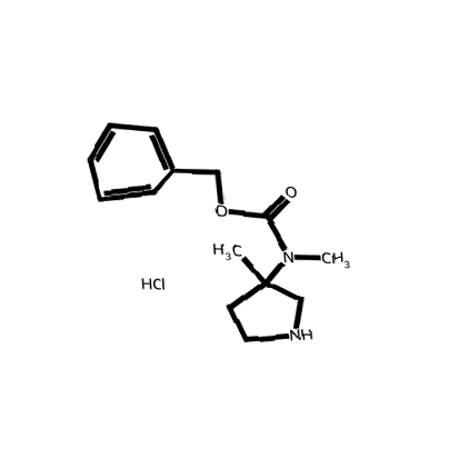 CN(C(=O)OCc1ccccc1)C1(C)CCNC1.Cl